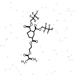 C=C(C)C(=O)OCCOC(=O)C1CCC(C(=O)OCC(F)(F)C(F)(F)F)C(C(=O)OCC(F)(F)C(F)(F)F)C1